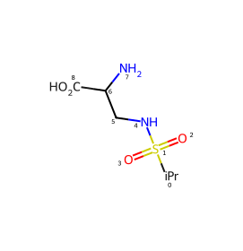 CC(C)S(=O)(=O)NCC(N)C(=O)O